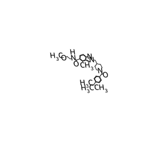 COCCNC(=O)c1ccc2nn(CC3CCN(C(=O)c4ccc(C(C)(C)C)cc4)CC3)cc2c1C